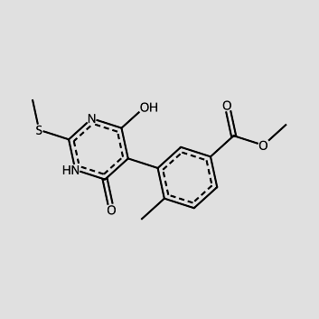 COC(=O)c1ccc(C)c(-c2c(O)nc(SC)[nH]c2=O)c1